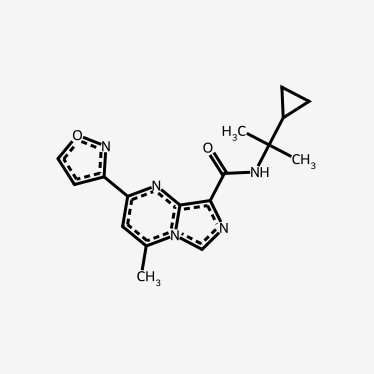 Cc1cc(-c2ccon2)nc2c(C(=O)NC(C)(C)C3CC3)ncn12